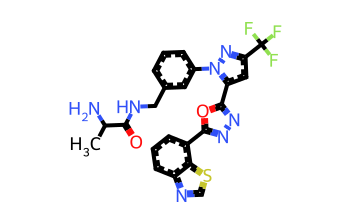 CC(N)C(=O)NCc1cccc(-n2nc(C(F)(F)F)cc2-c2nnc(-c3cccc4ncsc34)o2)c1